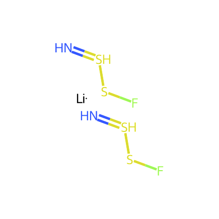 N=[SH]SF.N=[SH]SF.[Li]